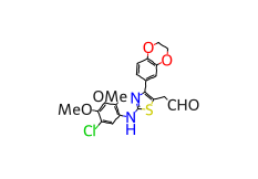 COc1cc(OC)c(Nc2nc(-c3ccc4c(c3)OCCO4)c(CC=O)s2)cc1Cl